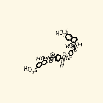 O=C(Nc1ccc(S(=O)(=O)Nc2ccc3cc(S(=O)(=O)O)ccc3c2O)cc1)Nc1ccc(S(=O)(=O)Nc2ccc3cc(S(=O)(=O)O)ccc3c2O)cc1